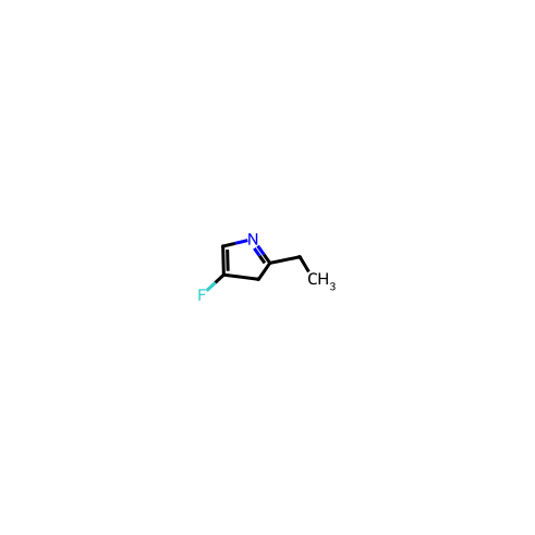 CCC1=NC=C(F)C1